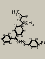 CCc1ccc(C=NN=C(c2ccccc2)c2ccc(C(C)CC(C)F)cc2)cc1